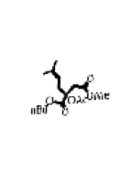 CCCCOC(=O)[C@@](CC=C(C)C)(CC(=O)OC)OC(C)=O